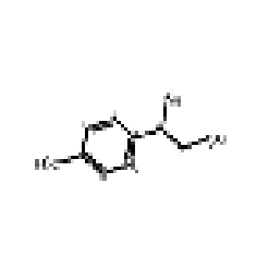 Cc1ccc(C(O)CC(C)(C)C)nc1